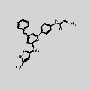 C=CC(=O)Nc1ccc(-c2cc(Cc3ccccc3)cc(Nc3cc(C)[nH]n3)n2)cc1